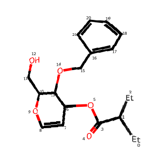 CCC(CC)C(=O)OC1C=COC(CO)C1OCc1ccccc1